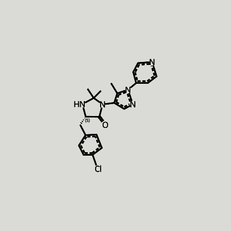 Cc1c(N2C(=O)[C@H](Cc3ccc(Cl)cc3)NC2(C)C)cnn1-c1ccncc1